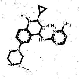 CC(=O)N1c2ccc(N3CCN[C@@H](C)C3)cc2C(Nc2nccc(C)n2)[C@@H](C)[C@@H]1C1CC1